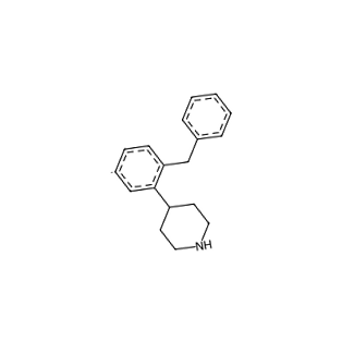 [c]1ccc(Cc2ccccc2)c(C2CCNCC2)c1